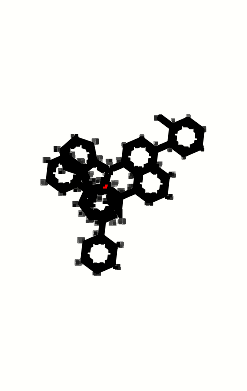 Cc1ccccc1-c1ccc(-n2c3ccccc3c3ccccc32)c2c(-c3nc(-c4ccccc4)nc(-c4ccccc4)n3)cccc12